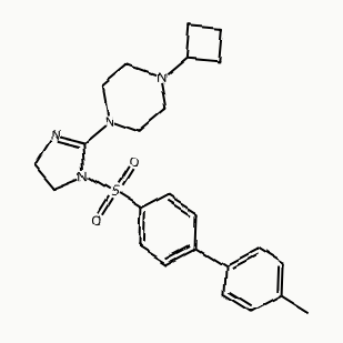 Cc1ccc(-c2ccc(S(=O)(=O)N3CCN=C3N3CCN(C4CCC4)CC3)cc2)cc1